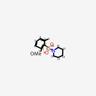 COc1cccc(C)c1S(=O)(=O)N1CCCCC1